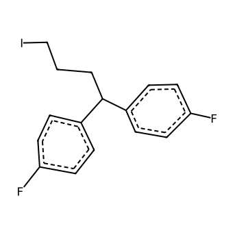 Fc1ccc(C(CCCI)c2ccc(F)cc2)cc1